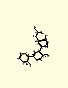 Cc1cnc(-c2cc(-c3ccccc3C)ccc2C)cc1CC(C)C